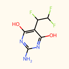 Nc1nc(O)c(C(F)C(F)F)c(O)n1